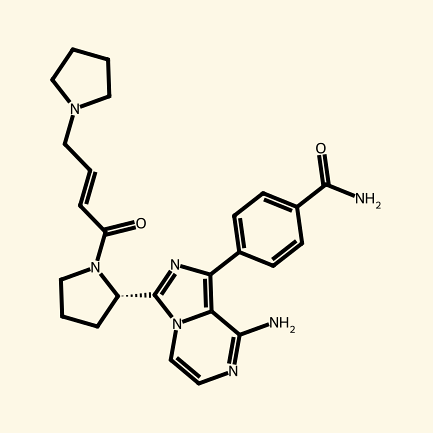 NC(=O)c1ccc(-c2nc([C@@H]3CCCN3C(=O)/C=C/CN3CCCC3)n3ccnc(N)c23)cc1